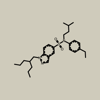 CCCC(CCC)Cn1ncc2cc(S(=O)(=O)N(CCC(C)C)c3ccc(CC)cc3)ccc21